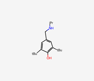 CC(C)NCc1cc(C(C)(C)C)c(O)c(C(C)(C)C)c1